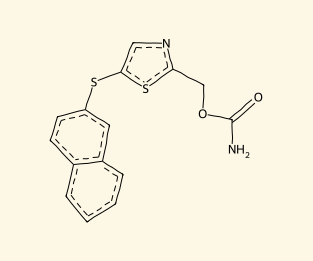 NC(=O)OCc1ncc(Sc2ccc3ccccc3c2)s1